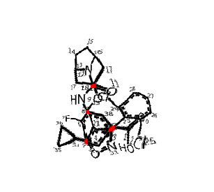 O=C(O)c1ccc(F)c(NC(=O)N2C3CCC2CC(OCc2c(-c4c(Cl)cccc4Cl)noc2C2CC2)C3)c1